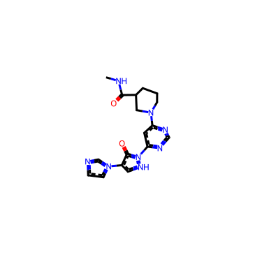 CNC(=O)C1CCCN(c2cc(-n3[nH]cc(-n4ccnc4)c3=O)ncn2)C1